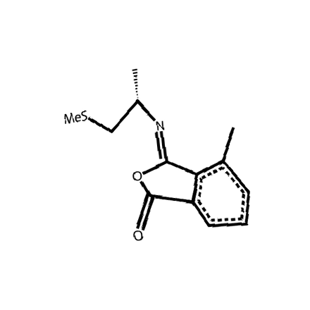 CSC[C@H](C)N=C1OC(=O)c2cccc(C)c21